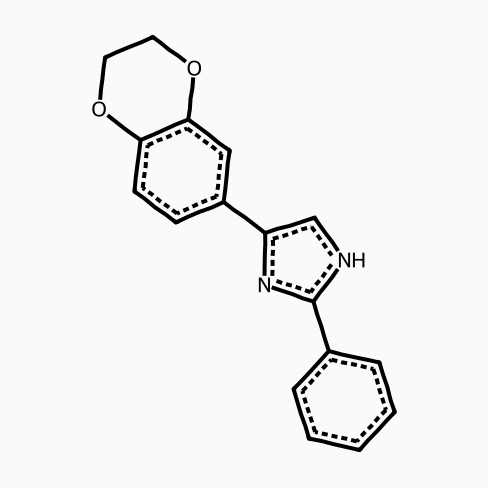 c1ccc(-c2nc(-c3ccc4c(c3)OCCO4)c[nH]2)cc1